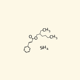 CCCCC(CC)COC(=O)C=Cc1ccccc1.[SiH4]